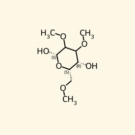 COC[C@@H]1O[C@H](O)C(OC)C(OC)[C@@H]1O